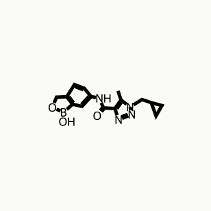 Cc1c(C(=O)Nc2ccc3c(c2)B(O)OC3)nnn1CC1CC1